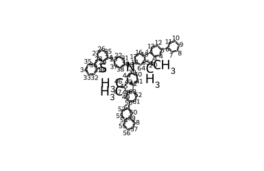 CC1(C)c2cc(-c3ccccc3)ccc2-c2ccc(N(c3ccc(-c4cccc5c4sc4ccccc45)cc3)c3ccc4c(c3)C(C)(C)c3cc(-c5ccc6ccccc6c5)ccc3-4)cc21